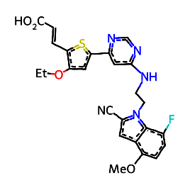 CCOc1cc(-c2cc(NCCn3c(C#N)cc4c(OC)ccc(F)c43)ncn2)sc1/C=C/C(=O)O